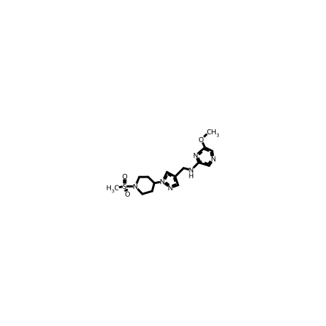 COc1cncc(NCc2cnn(C3CCN(S(C)(=O)=O)CC3)c2)n1